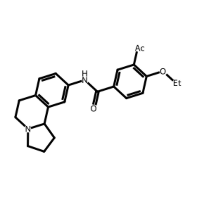 CCOc1ccc(C(=O)Nc2ccc3c(c2)C2CCCN2CC3)cc1C(C)=O